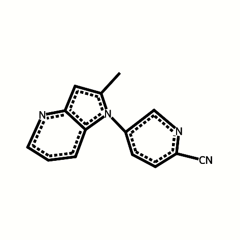 Cc1cc2ncccc2n1-c1ccc(C#N)nc1